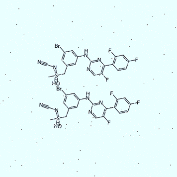 C[SH](O)(Cc1cc(Br)cc(Nc2ncc(F)c(-c3ccc(F)cc3F)n2)c1)=NC#N.C[SH](O)(Cc1cc(Br)cc(Nc2ncc(F)c(-c3ccc(F)cc3F)n2)c1)=NC#N